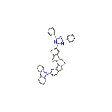 c1ccc(-c2nc(-c3ccccc3)nc(-c3ccc4sc5c(ccc6sc7ccc(-n8c9ccccc9c9ccccc98)cc7c65)c4c3)n2)cc1